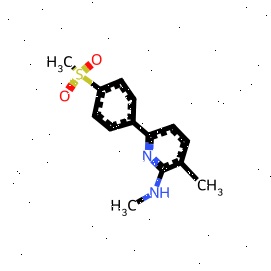 CNc1nc(-c2ccc(S(C)(=O)=O)cc2)ccc1C